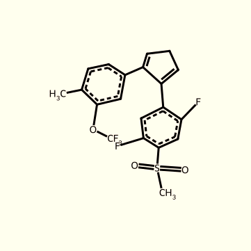 Cc1ccc(C2=CCC=C2c2cc(F)c(S(C)(=O)=O)cc2F)cc1OC(F)(F)F